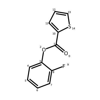 O=C(Oc1ccccc1F)c1cccs1